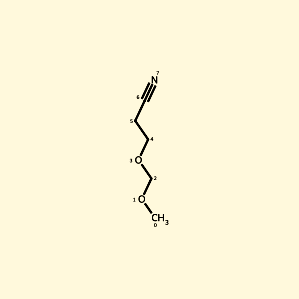 COCOCCC#N